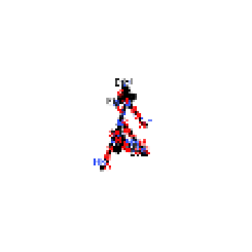 C=CC(=O)NCCOCCOCCN(CCC(=O)NCCCN(CCCNC(=O)CCN(CCOCCOCCNC(=O)C=C)C(=O)c1ccccc1-c1c2ccc(=[N+](CC)CC)cc-2oc2cc(N(CC)CC)ccc12)C(=O)CCOCCOCCNC(=O)CCN1C(=O)C=CC1=O)C(=O)c1ccccc1-c1c2ccc(=[N+](CC)CC)cc-2oc2cc(N(CC)CC)ccc12